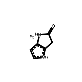 O=C1Cc2[nH]ccc2N1.[Pt]